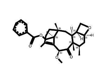 CO[C@@H]1C(=O)[C@@]2(C)[C@H](C)C[C@@H]3OC[C@@H]3[C@@H]2C[C@@]2(C)CCC(C)=C1[C@@]2(C)COC(=O)c1ccccc1